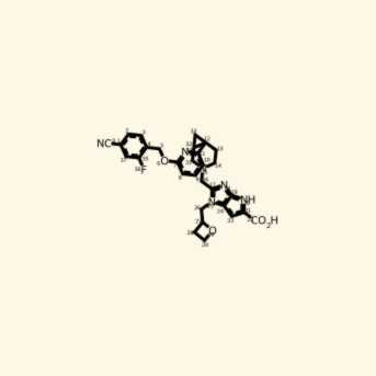 N#Cc1ccc(COc2cccc(C34CCN(Cc5nc6[nH]c(C(=O)O)cc6n5CC5CCO5)CC3C4)n2)c(F)c1